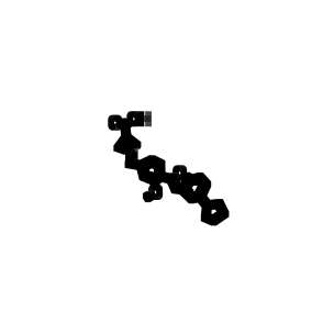 COc1cc(CN2CC(C(=O)O)C2)ccc1-c1cc2cc(C3CCCC3)ccc2o1